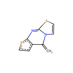 C=C1c2ccsc2N=C2SC=CN12